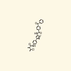 C=C(Cl)C(=C)C(=O)Nc1ccc(-c2cc(NC(=O)c3ccc(C(=O)c4ccccc4)cc3)n(C)n2)cc1